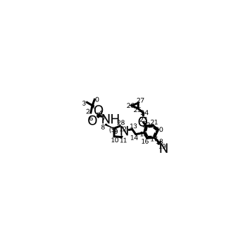 CC(C)(C)OC(=O)NC[C@@H]1CCN(CCc2cc(C#N)ccc2OCC2CC2)C1